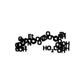 CCc1c2c(nc3ccc(OC(=O)N4CCN(C(=O)OCc5ccc(O[C@@H]6O[C@H](C(=O)O)[C@@H](O)[C@H](O)[C@H]6O)c(NC(C)C)c5)CC4)cc13)-c1cc3c(c(=O)n1C2)COC(=O)[C@]3(O)CC